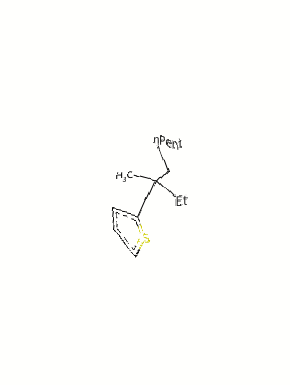 CCCCCCC(C)(CC)c1cccs1